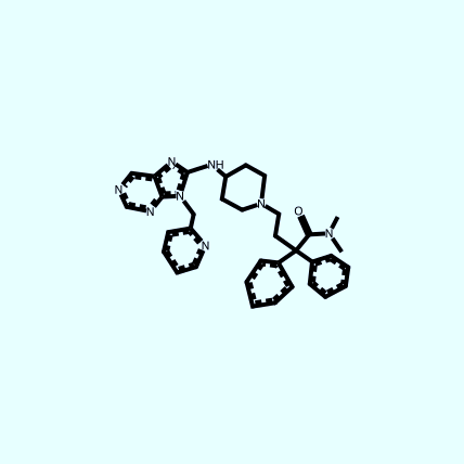 CN(C)C(=O)C(CCN1CCC(Nc2nc3cncnc3n2Cc2ccccn2)CC1)(c1ccccc1)c1ccccc1